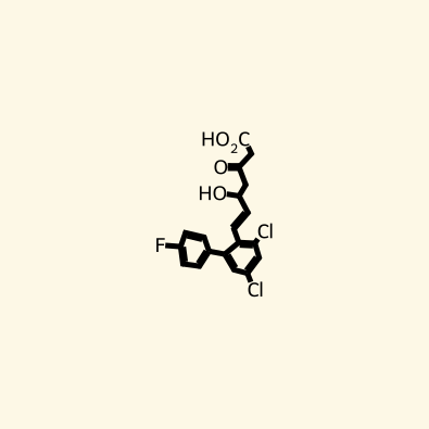 O=C(O)CC(=O)CC(O)/C=C/c1c(Cl)cc(Cl)cc1-c1ccc(F)cc1